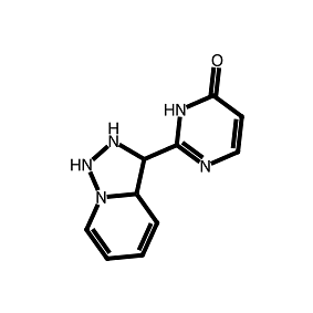 O=c1ccnc(C2NNN3C=CC=CC23)[nH]1